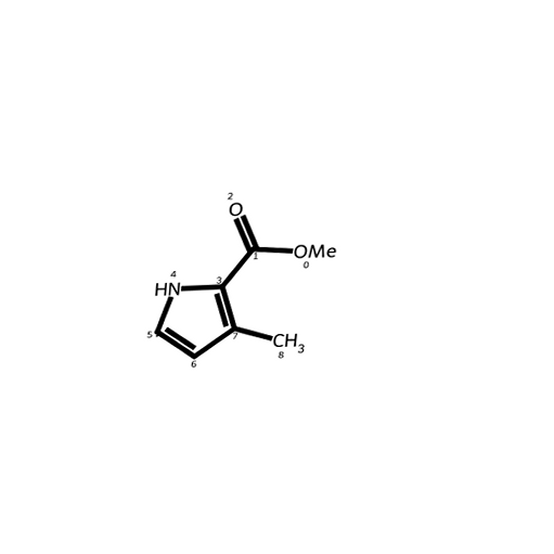 COC(=O)c1[nH][c]cc1C